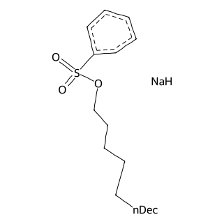 CCCCCCCCCCCCCCCOS(=O)(=O)c1ccccc1.[NaH]